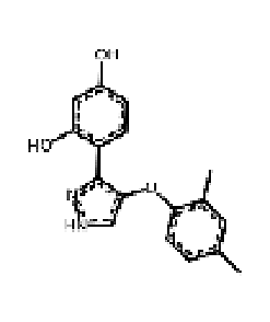 Cc1ccc(Oc2c[nH]nc2-c2ccc(O)cc2O)c(C)c1